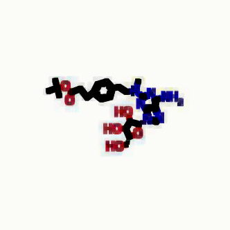 CN(CCc1ccc(CCC(=O)OC(C)(C)C)cc1)c1nc(N)c2ncn([C@@H]3O[C@H](CO)C(O)C3O)c2n1